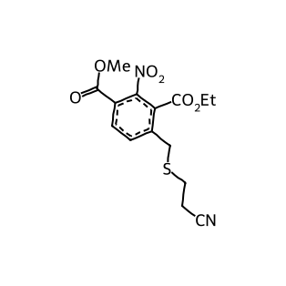 CCOC(=O)c1c(CSCCC#N)ccc(C(=O)OC)c1[N+](=O)[O-]